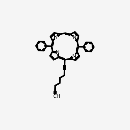 C#CCCCCC#CC1=C2C=CC(=N2)C(c2ccccc2)=C2C=CC(=N2)C=C2C=CC(=N2)C(c2ccccc2)=C2C=CC1=N2